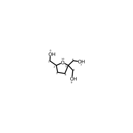 OCC1CCC(CO)(CO)O1